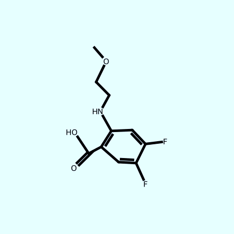 COCCNc1cc(F)c(F)cc1C(=O)O